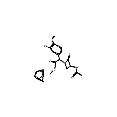 COC(=O)C(c1ccc(OC)c(Br)c1)N1CC(NC(C)=O)C1=O.c1cc2cc-2c1